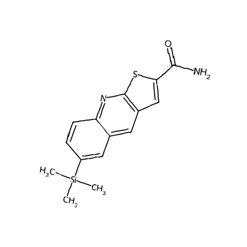 C[Si](C)(C)c1ccc2nc3sc(C(N)=O)cc3cc2c1